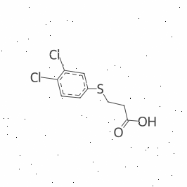 O=C(O)CCSc1ccc(Cl)c(Cl)c1